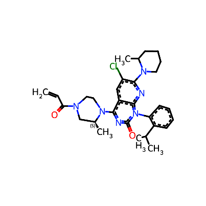 C=CC(=O)N1CCN(c2nc(=O)n(-c3ccccc3C(C)C)c3nc(N4CCCCC4C)c(Cl)cc23)[C@@H](C)C1